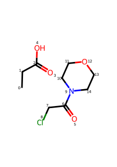 CCC(=O)O.O=C(CCl)N1CCOCC1